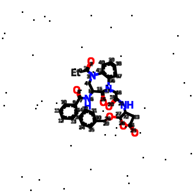 CCC(=O)N1CC(NC(=O)c2ccccc2)C(=O)N(CC(=O)NC2CC(=O)OC2OCc2ccccc2)c2ccccc21